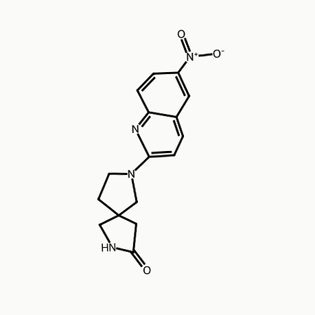 O=C1CC2(CCN(c3ccc4cc([N+](=O)[O-])ccc4n3)C2)CN1